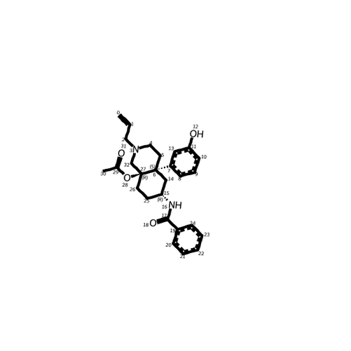 C=CCN1CC[C@@]2(c3cccc(O)c3)C[C@H](NC(=O)c3ccccc3)CC[C@]2(OC(C)=O)C1